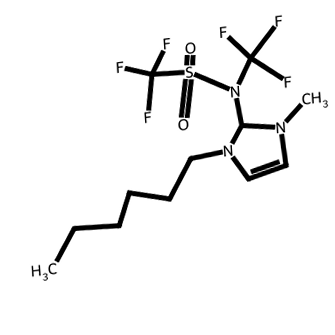 CCCCCCN1C=CN(C)C1N(C(F)(F)F)S(=O)(=O)C(F)(F)F